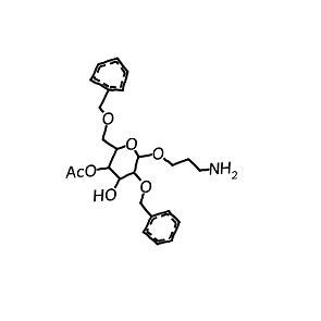 CC(=O)OC1C(COCc2ccccc2)OC(OCCCN)C(OCc2ccccc2)C1O